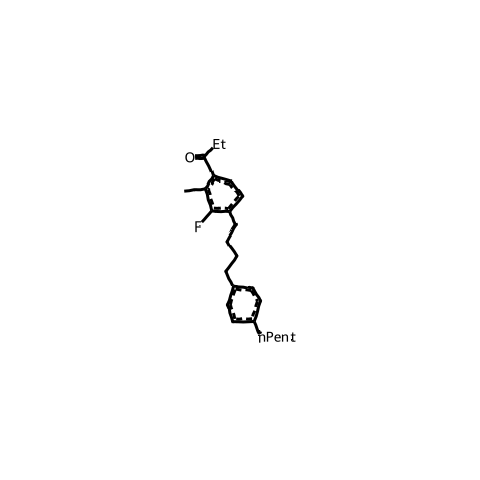 CCCCCc1ccc(CCCCc2ccc(C(=O)CC)c(C)c2F)cc1